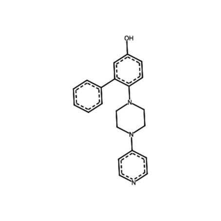 Oc1ccc(N2CCN(c3ccncc3)CC2)c(-c2ccccc2)c1